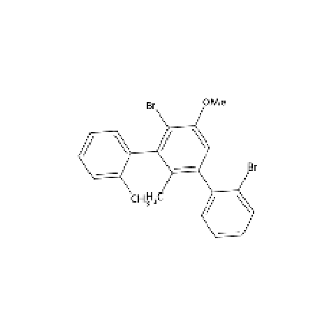 COc1cc(-c2ccccc2Br)c(C)c(-c2ccccc2C)c1Br